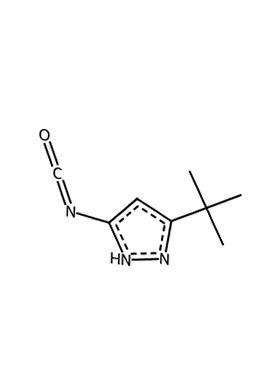 CC(C)(C)c1cc(N=C=O)[nH]n1